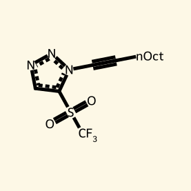 CCCCCCCCC#Cn1nncc1S(=O)(=O)C(F)(F)F